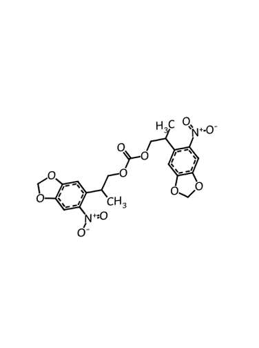 CC(COC(=O)OCC(C)c1cc2c(cc1[N+](=O)[O-])OCO2)c1cc2c(cc1[N+](=O)[O-])OCO2